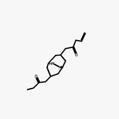 C=CCC(=O)CC1CC2CC(CC(=O)CC)CC(C1)NN2